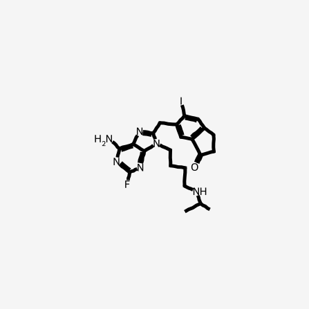 CC(C)NCCCCn1c(Cc2cc3c(cc2I)CCC3=O)nc2c(N)nc(F)nc21